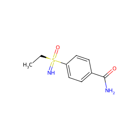 CC[S@@](=N)(=O)c1ccc(C(N)=O)cc1